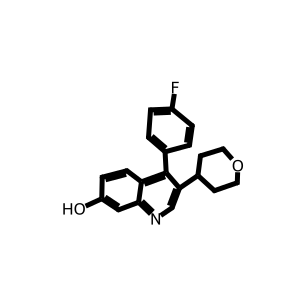 Oc1ccc2c(-c3ccc(F)cc3)c(C3CCOCC3)cnc2c1